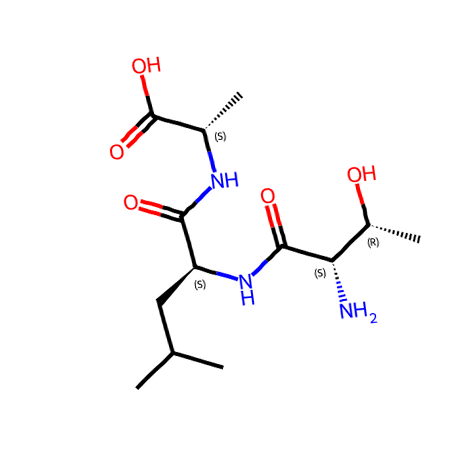 CC(C)C[C@H](NC(=O)[C@@H](N)[C@@H](C)O)C(=O)N[C@@H](C)C(=O)O